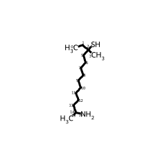 CCC(C)(S)CCCCCCCCCC(C)N